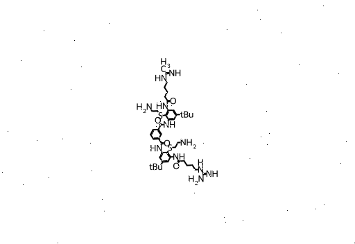 CC(=N)NCCCCC(=O)Nc1cc(C(C)(C)C)cc(NC(=O)c2cccc(C(=O)Nc3cc(C(C)(C)C)cc(NC(=O)CCCCNC(=N)N)c3SCCN)c2)c1SCCN